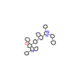 c1ccc(-c2cccc(-c3nc(-c4ccccc4)cc(-c4ccc(-c5ccc(-c6c7c(cc8c(-c9ccccc9)nc9ccccc9c68)oc6ccccc67)cc5)c5ccccc45)n3)c2)cc1